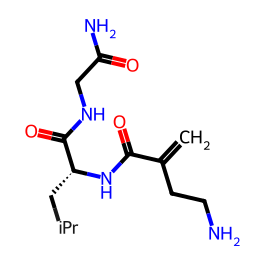 C=C(CCN)C(=O)N[C@H](CC(C)C)C(=O)NCC(N)=O